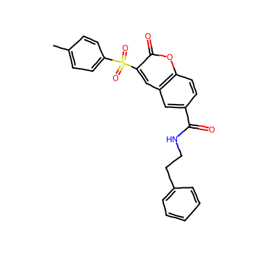 Cc1ccc(S(=O)(=O)c2cc3cc(C(=O)NCCc4ccccc4)ccc3oc2=O)cc1